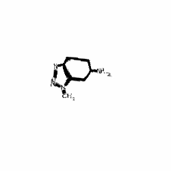 Cn1nnc2c1CC(N)CC2